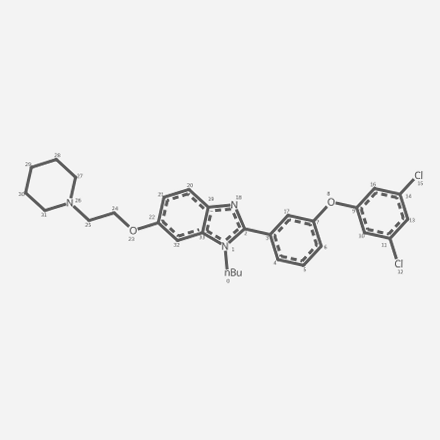 CCCCn1c(-c2cccc(Oc3cc(Cl)cc(Cl)c3)c2)nc2ccc(OCCN3CCCCC3)cc21